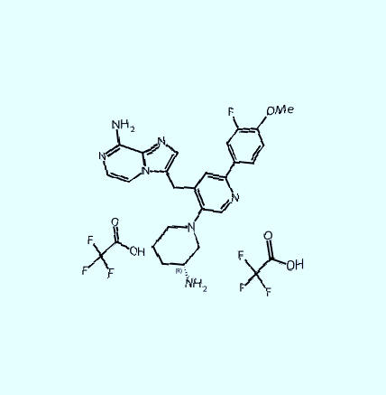 COc1ccc(-c2cc(Cc3cnc4c(N)nccn34)c(N3CCC[C@@H](N)C3)cn2)cc1F.O=C(O)C(F)(F)F.O=C(O)C(F)(F)F